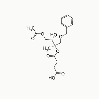 CC(=O)OC[C@H](O)[C@@](C)(COCc1ccccc1)OC(=O)CCC(=O)O